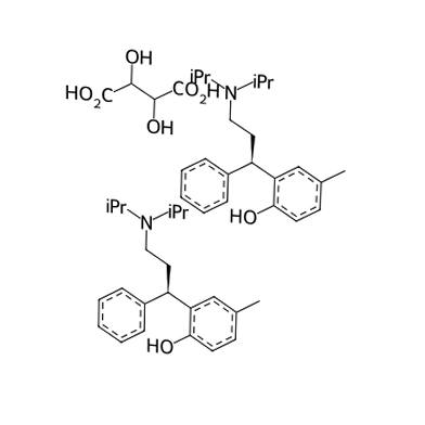 Cc1ccc(O)c([C@H](CCN(C(C)C)C(C)C)c2ccccc2)c1.Cc1ccc(O)c([C@H](CCN(C(C)C)C(C)C)c2ccccc2)c1.O=C(O)C(O)C(O)C(=O)O